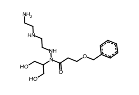 NCCNCCNN(C(=O)CCOCc1ccccc1)C(CO)CO